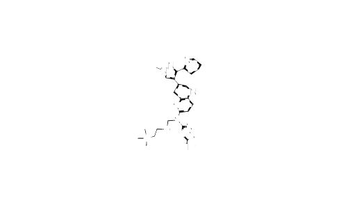 CC(C)c1nnc(N(COCC[Si](C)(C)C)c2ccc3ncc(-c4cn(C)nc4-c4ccccn4)cc3n2)s1